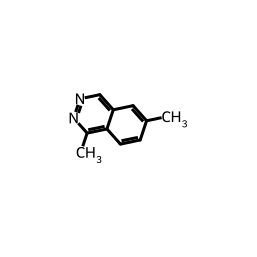 Cc1ccc2c(C)nncc2c1